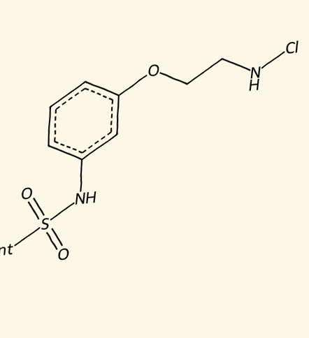 CCCC(C)S(=O)(=O)Nc1cccc(OCCNCl)c1